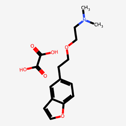 CN(C)CCOCCc1ccc2occc2c1.O=C(O)C(=O)O